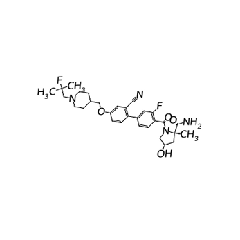 CC(C)(F)CN1CCC(COc2ccc(-c3ccc(C(=O)N4C[C@H](O)C[C@@]4(C)C(N)=O)c(F)c3)c(C#N)c2)CC1